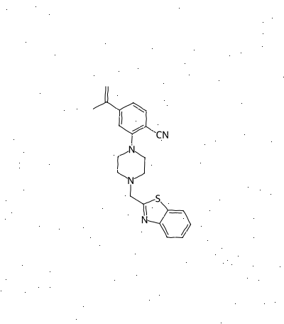 C=C(C)c1ccc(C#N)c(N2CCN(Cc3nc4ccccc4s3)CC2)c1